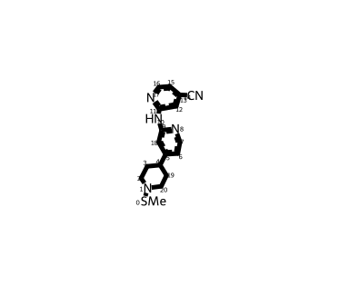 CSN1CCC(c2ccnc(Nc3cc(C#N)ccn3)c2)CC1